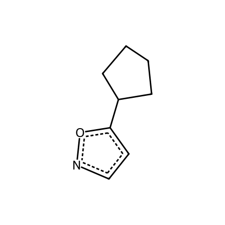 c1cc(C2CCCC2)on1